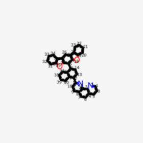 c1cnc2c(c1)ccc1ccc(-c3ccc(-c4c5oc6ccccc6c5cc5c4oc4ccccc45)c4ccccc34)nc12